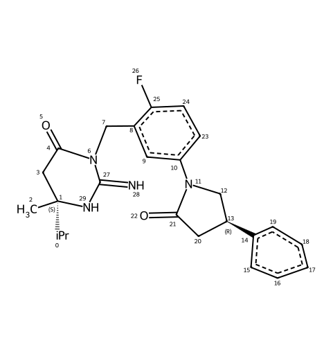 CC(C)[C@]1(C)CC(=O)N(Cc2cc(N3C[C@@H](c4ccccc4)CC3=O)ccc2F)C(=N)N1